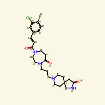 O=C1CC2(CCN(CCCN3CCN(C(=O)C=Cc4ccc(F)c(Cl)c4)CCC3=O)CC2)CN1